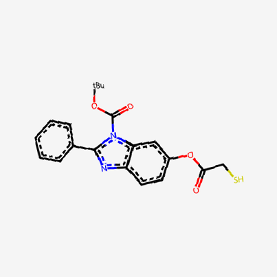 CC(C)(C)OC(=O)n1c(-c2ccccc2)nc2ccc(OC(=O)CS)cc21